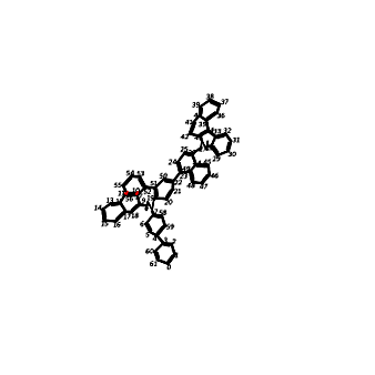 c1ccc(-c2ccc(N(c3ccc4ccccc4c3)c3ccc(-c4ccc(-n5c6ccccc6c6c7ccccc7ccc65)c5ccccc45)cc3-c3ccccc3)cc2)cc1